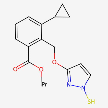 CC(C)OC(=O)c1cccc(C2CC2)c1COc1ccn(S)n1